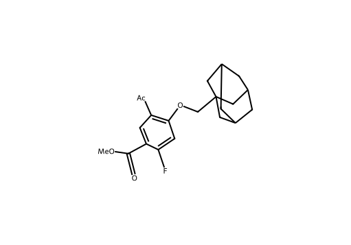 COC(=O)c1cc(C(C)=O)c(OCC23CC4CC(CC(C4)C2)C3)cc1F